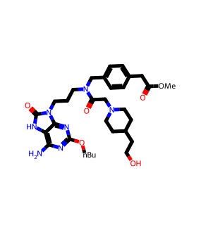 CCCCOc1nc(N)c2[nH]c(=O)n(CCCN(Cc3ccc(CC(=O)OC)cc3)C(=O)CN3CCC(CCO)CC3)c2n1